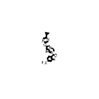 O=C(c1ccc(C(F)(F)F)cc1F)N1CCN2C[C@H](Oc3cnc(C4CC4)cn3)C[C@H]2C1